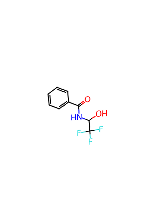 O=C(NC(O)C(F)(F)F)c1ccccc1